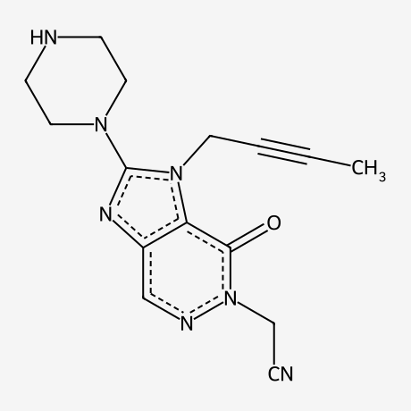 CC#CCn1c(N2CCNCC2)nc2cnn(CC#N)c(=O)c21